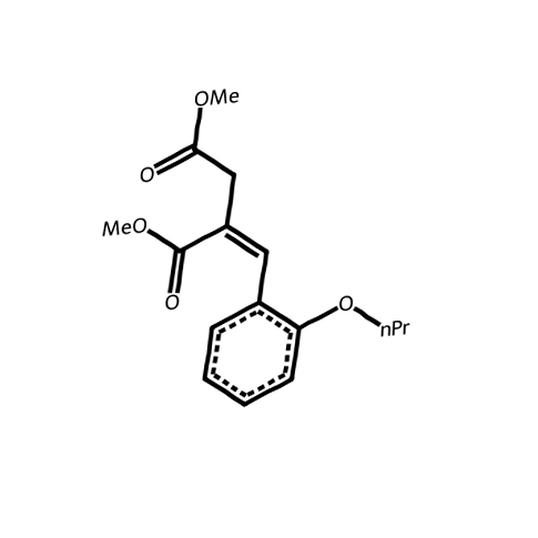 CCCOc1ccccc1C=C(CC(=O)OC)C(=O)OC